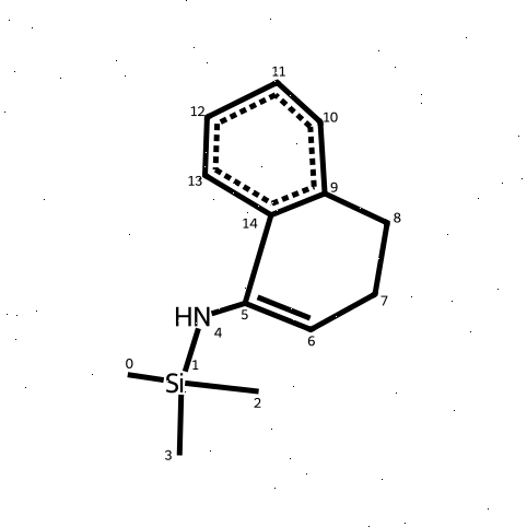 C[Si](C)(C)NC1=CCCc2ccccc21